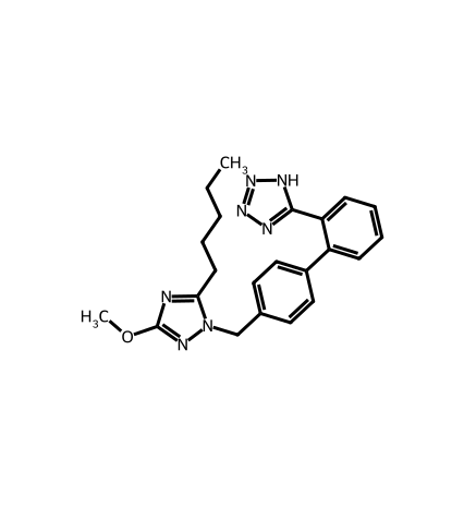 CCCCCc1nc(OC)nn1Cc1ccc(-c2ccccc2-c2nnn[nH]2)cc1